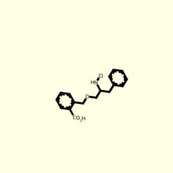 O=C(O)c1ccccc1COCC(Cc1ccccc1)NCl